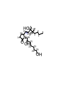 CCCCC(F)(F)C(C)(O)/C=C/C1CCC(=O)N1CC(O)CCCCCO